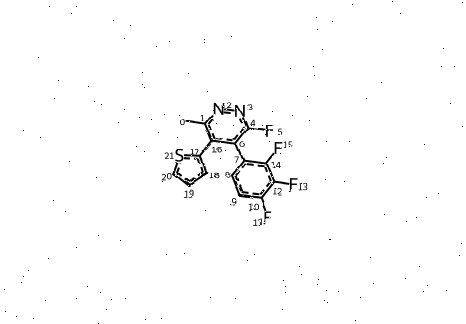 Cc1nnc(F)c(-c2ccc(F)c(F)c2F)c1-c1cccs1